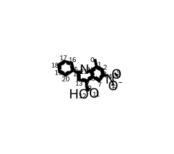 Cc1cc([N+](=O)[O-])cc2c(C(=O)O)cc(-c3ccccc3)nc12